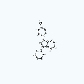 Oc1ccc(-c2nn(-c3ccccc3)c3ncccc23)cc1